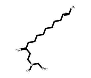 C=C(CCCCCCCC/C=C/CCC)CCN(CCC)CC(C)CCC